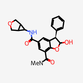 CNC(=O)c1cc(C(=O)NC2C3COCC32)cc2c1OC(O)[C@@H]2c1ccccc1